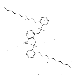 CCCCCCCCCCc1ccccc1C(C)(C)Cc1cccc(O)c1CC(C)(C)c1ccccc1CCCCCCCCCC